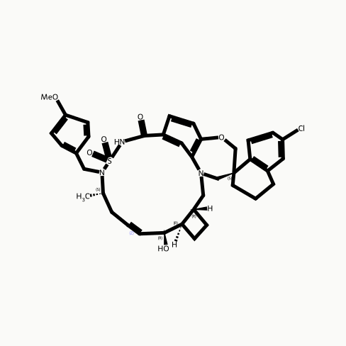 COc1ccc(CN2[C@@H](C)C/C=C\[C@H](O)[C@@H]3CC[C@H]3CN3C[C@@]4(CCCc5cc(Cl)ccc54)COc4ccc(cc43)C(=O)NS2(=O)=O)cc1